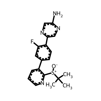 CC(C)(C)[S+]([O-])c1ncccc1-c1ccc(-c2cnc(N)cn2)c(F)c1